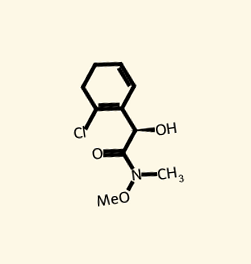 CON(C)C(=O)[C@H](O)C1=C(Cl)CCC=C1